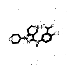 CN(c1ccc(Cl)c(C(F)F)c1)c1nn(C2CCOCC2)c2c1CNCC2